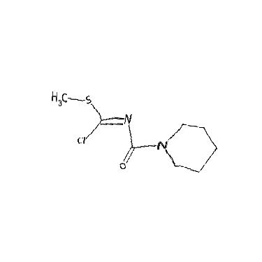 CSC(Cl)=NC(=O)N1CCCCC1